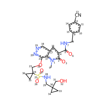 Cn1c(=O)c(C(=O)NCc2ccc(C#N)cc2)cc2cnnc(OCC3(S(=O)(=O)NCC4(CO)CC4)CC3)c21